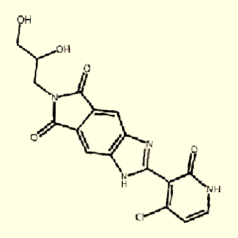 O=C1c2cc3nc(-c4c(Cl)cc[nH]c4=O)[nH]c3cc2C(=O)N1CC(O)CO